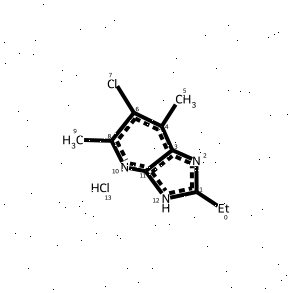 CCc1nc2c(C)c(Cl)c(C)nc2[nH]1.Cl